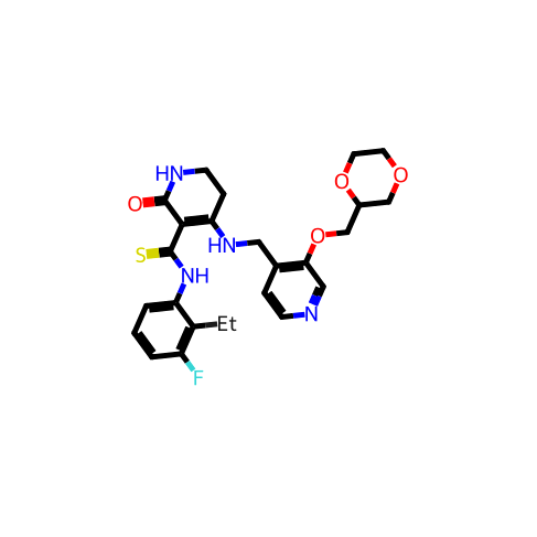 CCc1c(F)cccc1NC(=S)C1=C(NCc2ccncc2OCC2COCCO2)CCNC1=O